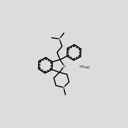 CN(C)CCC1(c2ccccc2)OC2(CCN(C)CC2)c2ccccc21.Cl.Cl